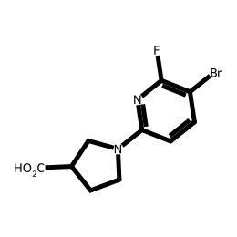 O=C(O)C1CCN(c2ccc(Br)c(F)n2)C1